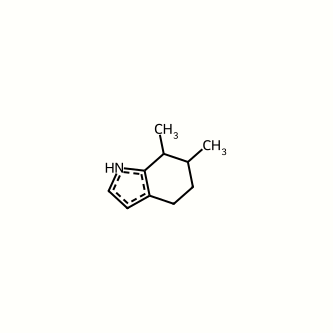 CC1CCc2cc[nH]c2C1C